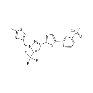 Cc1nc(Cn2nc(-c3ccc(-c4cccc(S(C)(=O)=O)c4)s3)cc2C(F)(F)F)cs1